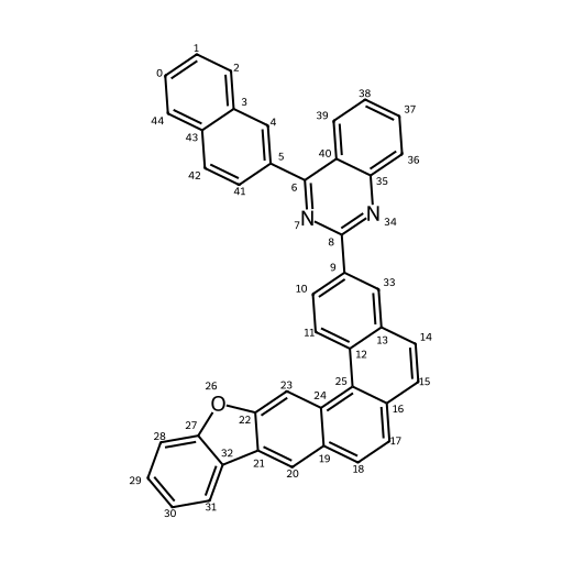 c1ccc2cc(-c3nc(-c4ccc5c(ccc6ccc7cc8c(cc7c65)oc5ccccc58)c4)nc4ccccc34)ccc2c1